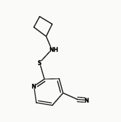 N#Cc1ccnc(SNC2CCC2)c1